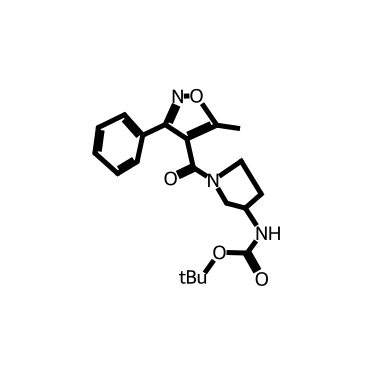 Cc1onc(-c2ccccc2)c1C(=O)N1CCC(NC(=O)OC(C)(C)C)C1